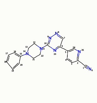 N#Cc1ccc(-c2cnnc(N3CCN(c4ccccc4)CC3)n2)cn1